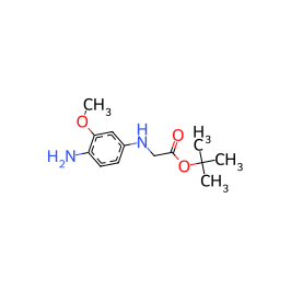 COc1cc(NCC(=O)OC(C)(C)C)ccc1N